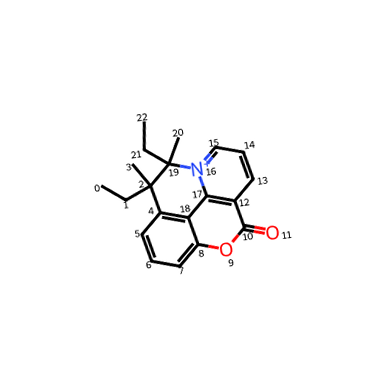 CCC1(C)c2cccc3oc(=O)c4ccc[n+](c4c23)C1(C)CC